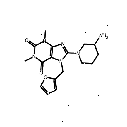 Cn1c(=O)c2c(nc(N3CCCC(N)C3)n2Cc2ccco2)n(C)c1=O